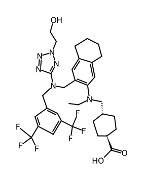 CCN(C[C@H]1CC[C@H](C(=O)O)CC1)c1cc2c(cc1CN(Cc1cc(C(F)(F)F)cc(C(F)(F)F)c1)c1nnn(CCO)n1)CCCC2